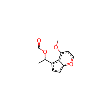 COc1ccoc2ccc(C(C)OC=O)c1-2